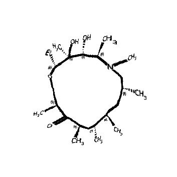 CC[C@H]1OC[C@H](C)C(=O)[C@H](C)[C@@H](C)[C@H](C)C[C@@H](C)CN(C)[C@H](C)[C@@H](O)[C@]1(C)O